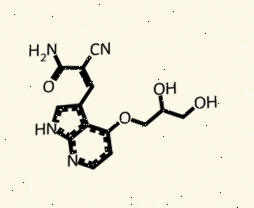 N#CC(=Cc1c[nH]c2nccc(OCC(O)CO)c12)C(N)=O